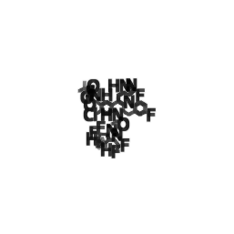 CC(C)S(=O)(=O)NC(=O)c1cc(-c2cc3[nH]ncc3nc2C(Cc2cc(F)cc(F)c2)NC(=O)Cn2nc(C(F)F)c3c2C(F)(F)[C@@H]2C[C@H]32)ccc1Cl